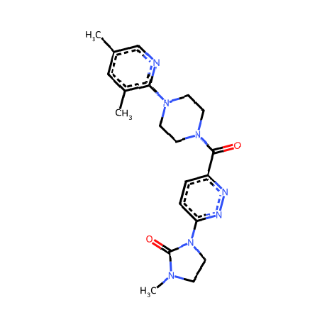 Cc1cnc(N2CCN(C(=O)c3ccc(N4CCN(C)C4=O)nn3)CC2)c(C)c1